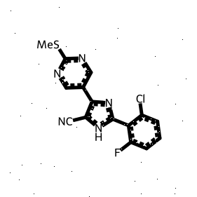 CSc1ncc(-c2nc(-c3c(F)cccc3Cl)[nH]c2C#N)cn1